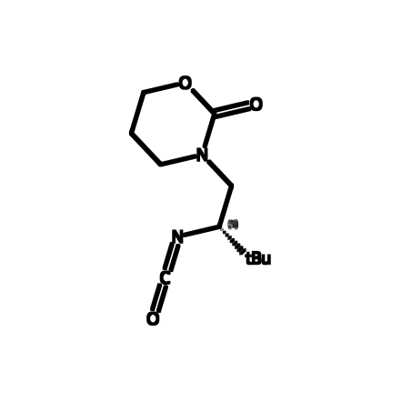 CC(C)(C)[C@@H](CN1CCCOC1=O)N=C=O